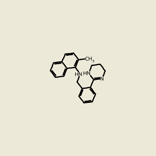 Cc1ccc2ccccc2c1NCc1ccccc1C1=NCCCN1